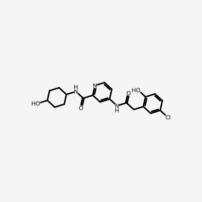 O=C(Cc1cc(Cl)ccc1O)Nc1ccnc(C(=O)NC2CCC(O)CC2)c1